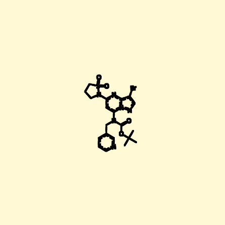 CC(C)(C)OC(=O)N(Cc1cccnc1)c1cc(N2CCCS2(=O)=O)nc2c(Br)cnn12